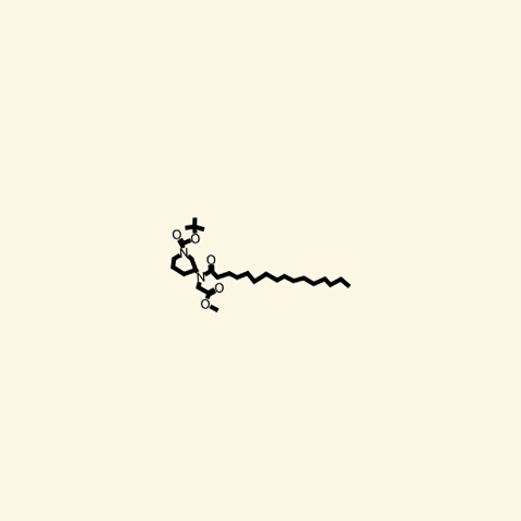 CCCCCCCCCCCCCCCC(=O)N(CC(=O)OC)C1CCCN(C(=O)OC(C)(C)C)C1